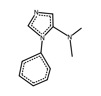 CN(C)c1cncn1-c1ccccc1